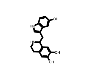 Oc1ccc2[nH]cc(CC3NCCc4cc(O)c(O)cc43)c2c1